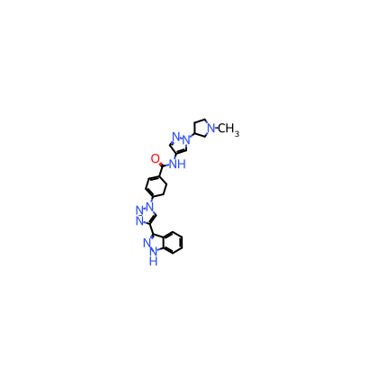 CN1CCC(n2cc(NC(=O)C3=CC=C(n4cc(-c5n[nH]c6ccccc56)nn4)CC3)cn2)C1